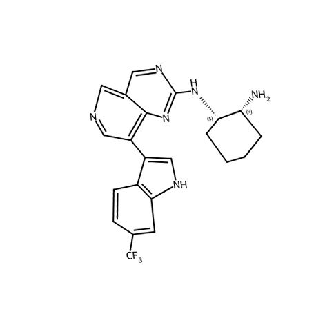 N[C@@H]1CCCC[C@@H]1Nc1ncc2cncc(-c3c[nH]c4cc(C(F)(F)F)ccc34)c2n1